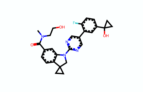 CN(CCO)C(=O)c1ccc2c(c1)N(c1ncc(-c3cc(C4(O)CC4)ccc3F)cn1)CC21CC1